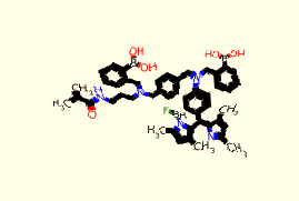 C=C(C)C(=O)NCCCN(Cc1ccc(CN(Cc2ccccc2B(O)O)c2ccc(/C(=C3/N=C(C)C=C3C)c3c(C)cc(C)n3BF)cc2)cc1)Cc1ccccc1B(O)O